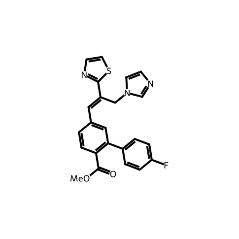 COC(=O)c1ccc(/C=C(\Cn2ccnc2)c2nccs2)cc1-c1ccc(F)cc1